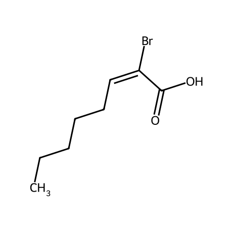 CCCCC/C=C(/Br)C(=O)O